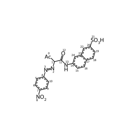 CC(=O)C(N=Nc1ccc([N+](=O)[O-])cc1)C(=O)Nc1ccc2ccc(S(=O)(=O)O)cc2c1